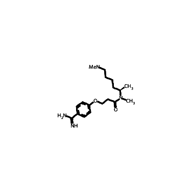 CNCCCC[C@@H](C)N(C)C(=O)CCOc1ccc(C(=N)N)cc1